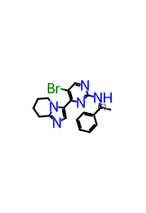 C[C@H](Nc1ncc(Br)c(-c2cnc3n2CCCC3)n1)c1ccccc1